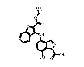 CCOC(=O)c1oc2cnccc2c1Nc1ccc(Cl)c2c1cnn2C(C)=O